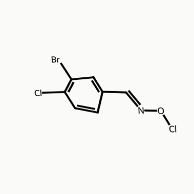 ClON=Cc1ccc(Cl)c(Br)c1